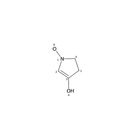 [O]N1C=C(O)CC1